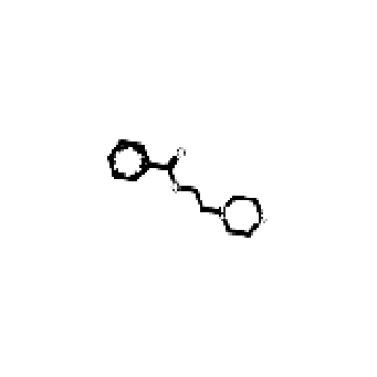 O=C(OCCN1CC[N]CC1)c1ccccc1